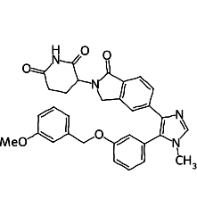 COc1cccc(COc2cccc(-c3c(-c4ccc5c(c4)CN(C4CCC(=O)NC4=O)C5=O)ncn3C)c2)c1